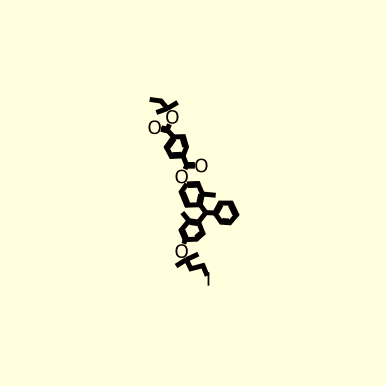 CCC(C)(C)OC(=O)c1ccc(C(=O)Oc2ccc(C(c3ccccc3)c3ccc(OC(C)(C)CCI)cc3C)c(C)c2)cc1